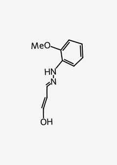 COc1ccccc1N/N=C/C=CO